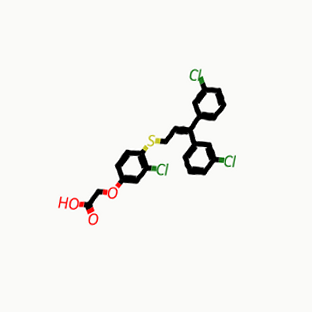 O=C(O)COc1ccc(SCC=C(c2cccc(Cl)c2)c2cccc(Cl)c2)c(Cl)c1